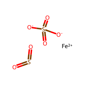 O=S(=O)([O-])[O-].O=S=O.[Fe+2]